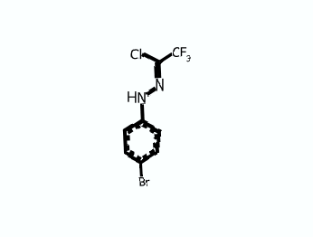 FC(F)(F)C(Cl)=NNc1ccc(Br)cc1